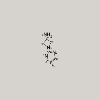 Cc1cnc(N2CC(N)C2)nc1